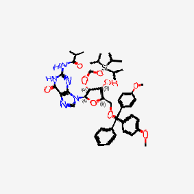 COc1ccc(C(OC[C@H]2O[C@@H](n3cnc4c(=O)[nH]c(NC(=O)C(C)C)nc43)[C@H](OCO[Si](C(C)C)(C(C)C)C(C)C)[C@@H]2O)(c2ccccc2)c2ccc(OC)cc2)cc1